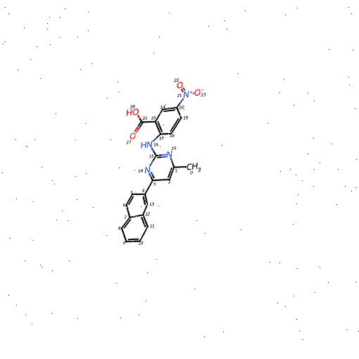 Cc1cc(-c2ccc3ccccc3c2)nc(Nc2ccc([N+](=O)[O-])cc2C(=O)O)n1